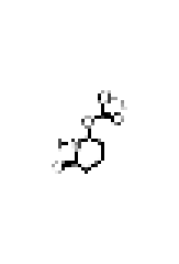 CC(=O)OC1CCCC(=O)N1